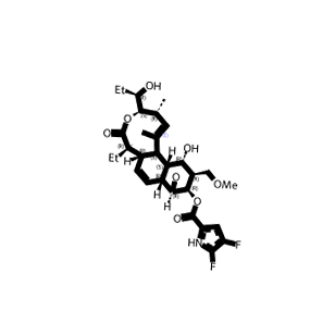 CC[C@@H](O)[C@H]1OC(=O)[C@H](CC)[C@H]2C=C[C@H]3[C@H]4O[C@]2(/C(C)=C/[C@H]1C)[C@@H]3[C@H](O)[C@@H](COC)[C@H]4OC(=O)c1cc(F)c(F)[nH]1